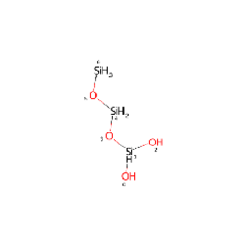 O[SiH](O)O[SiH2]O[SiH3]